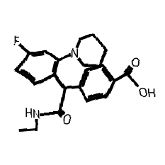 CCNC(=O)C(c1ccc(C(=O)O)cc1)c1ccc(F)cc1N1CCCCC1